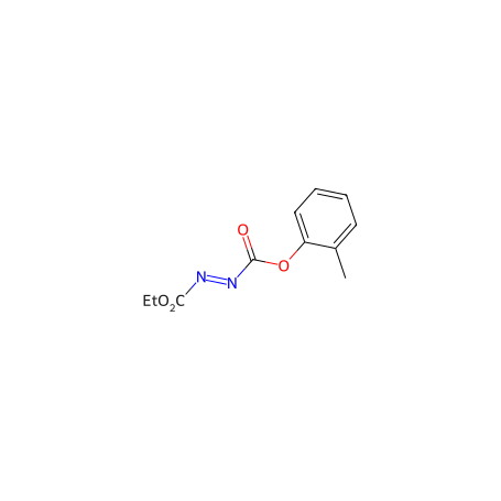 CCOC(=O)N=NC(=O)Oc1ccccc1C